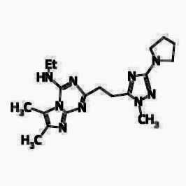 CCNc1nc(CCc2nc(N3CCCC3)nn2C)nc2nc(C)c(C)n12